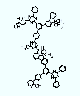 C=C(/C=C\C=C/C)c1nc(C2=CCCC=C2)nc(-c2cc(C3=CCC(c4nc(C)cc(CC5CC=CC6=C5C(C)(C)c5ccc(-c7cc(-c8ccc(-c9cccnc9C)cc8)cc(-c8nc(-c9ccccc9)nc(-c9ccccc9)n8)c7)cc56)n4)C=C3)cc(-c3ccc4c(c3)-c3ccccc3C4(C)C)c2)n1